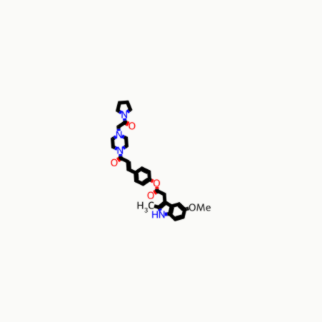 COc1ccc2[nH]c(C)c(CC(=O)Oc3ccc(/C=C/C(=O)N4CCN(CC(=O)N5CCCC5)CC4)cc3)c2c1